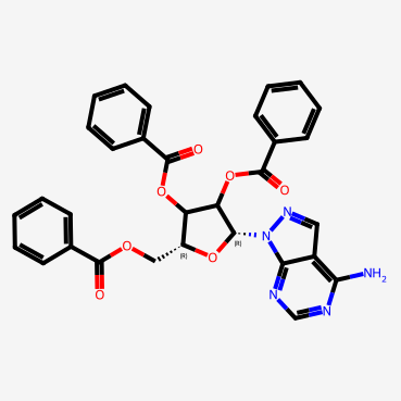 Nc1ncnc2c1cnn2[C@@H]1O[C@H](COC(=O)c2ccccc2)C(OC(=O)c2ccccc2)C1OC(=O)c1ccccc1